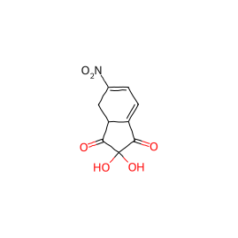 O=C1C2=CC=C([N+](=O)[O-])CC2C(=O)C1(O)O